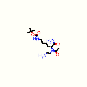 CC(=O)N(CCN)[C@@H](CCCCNC(=O)OC(C)(C)C)C(N)=O